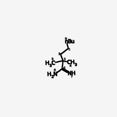 CCCCCCC(C)(C)C(=N)N